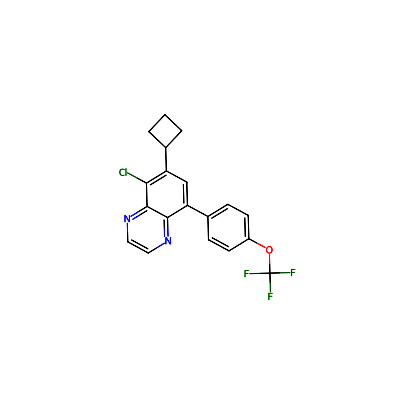 FC(F)(F)Oc1ccc(-c2cc(C3CCC3)c(Cl)c3nccnc23)cc1